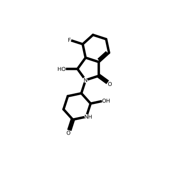 O=C1CCC(N2C(=O)C3=CCCC(F)C3C2O)C(O)N1